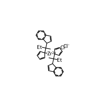 CCC(C)(C1C=Cc2ccccc21)[C]1([Zr+2][C]2(C(C)(CC)C3C=Cc4ccccc43)C=CC=C2)C=CC=C1.[Cl-].[Cl-]